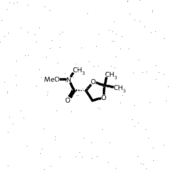 CON(C)C(=O)[C@H]1COC(C)(C)O1